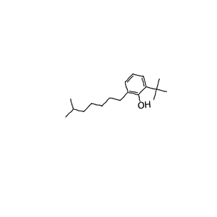 CC(C)CCCCCc1cccc(C(C)(C)C)c1O